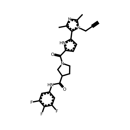 C#CCn1c(C)nc(C)c1-c1ccc(C(=O)N2CCC(C(=O)Nc3cc(F)c(F)c(F)c3)C2)[nH]1